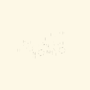 CC(C)CC[C@]1(C)C(=O)C(C2=NS(O)(O)c3cc(NC(=O)OC(C)(C)C)ccc3N2)=C(O)c2ccccc21